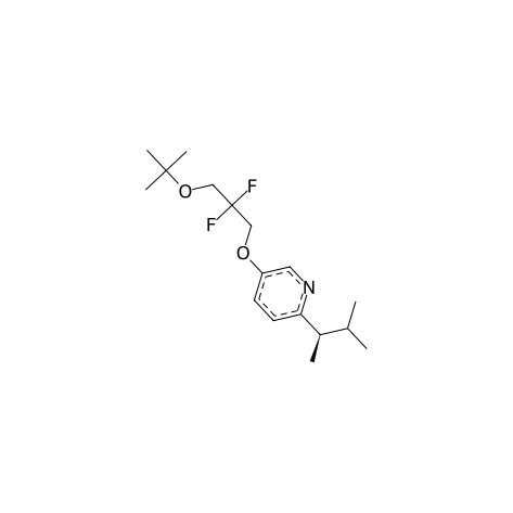 CC(C)[C@@H](C)c1ccc(OCC(F)(F)COC(C)(C)C)cn1